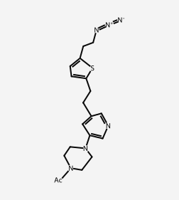 CC(=O)N1CCN(c2cncc(CCc3ccc(CCN=[N+]=[N-])s3)c2)CC1